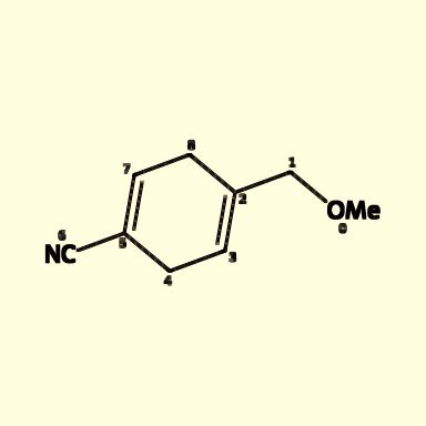 COCC1=CCC(C#N)=CC1